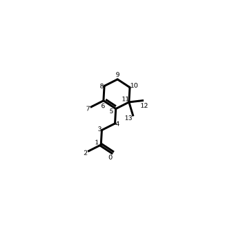 C=C(C)CCC1=C(C)CCCC1(C)C